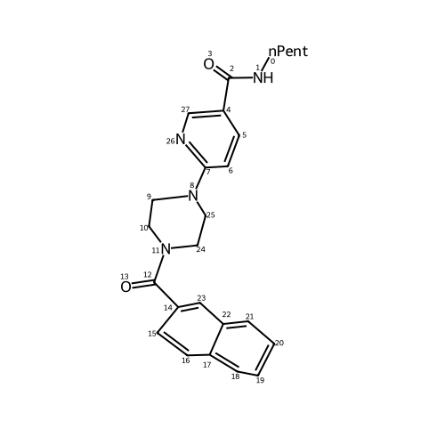 CCCCCNC(=O)c1ccc(N2CCN(C(=O)c3ccc4ccccc4c3)CC2)nc1